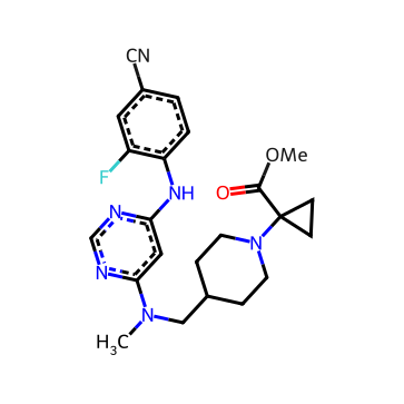 COC(=O)C1(N2CCC(CN(C)c3cc(Nc4ccc(C#N)cc4F)ncn3)CC2)CC1